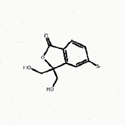 O=C1OC(CO)(CO)c2cc(Br)ccc21